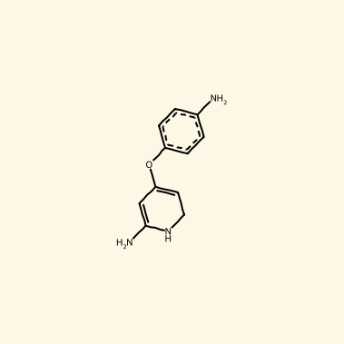 NC1=CC(Oc2ccc(N)cc2)=CCN1